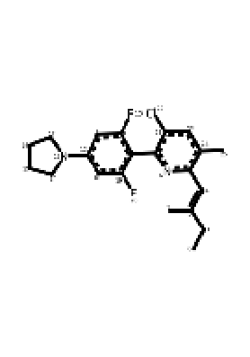 CC/C(C)=C/c1nc(-c2c(F)cc(N3CCCC3)cc2F)c(Cl)cc1C